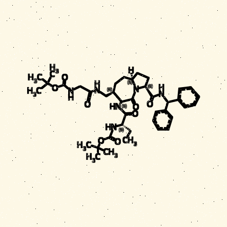 CC[C@H](NC(=O)OC(C)(C)C)C(=O)N[C@@H]1C(=O)N2[C@@H](CC[C@@H]1CNC(=O)CNC(=O)OC(C)(C)C)CC[C@H]2C(=O)NC(c1ccccc1)c1ccccc1